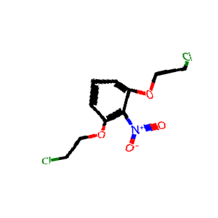 O=[N+]([O-])c1c(OCCCl)cccc1OCCCl